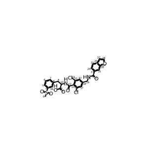 CS(=O)(=O)c1cccc(CC(NC(=O)c2c(Cl)cc(CNC(=O)c3ccc4ccoc4c3)cc2Cl)C(=O)O)c1